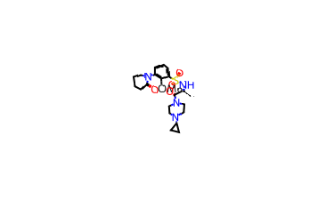 [CH2][C@H](NS(=O)(=O)c1cccc(N2CCCCC2=O)c1OC)C(=O)N1CCN(C2CC2)CC1